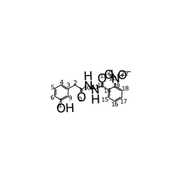 O=C(Cc1cccc(O)c1)NNC(=O)c1ccccc1[N+](=O)[O-]